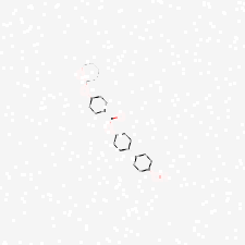 O=C(Oc1ccc(-c2ccc(O)cc2)cc1)c1ccc(OC2CCCCO2)cc1